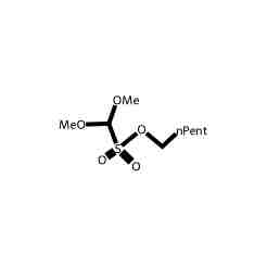 CCCCCCOS(=O)(=O)C(OC)OC